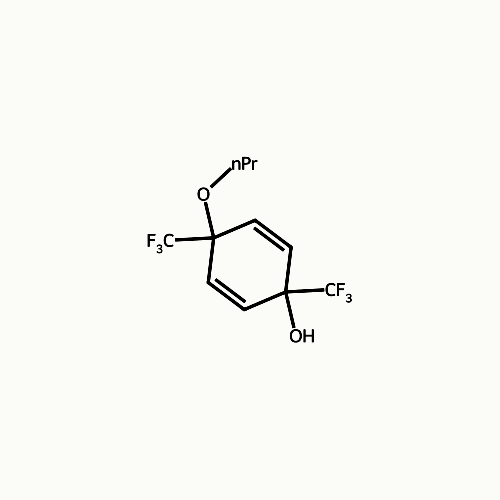 CCCOC1(C(F)(F)F)C=CC(O)(C(F)(F)F)C=C1